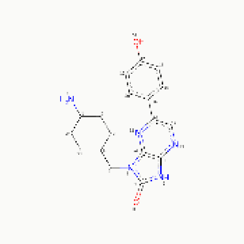 NC1CCC(Cn2c(=O)[nH]c3ncc(-c4ccc(O)cc4)nc32)CC1